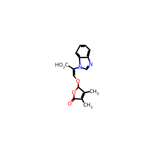 CC1=C(C)C(O/C=C(/C(=O)O)n2cnc3ccccc32)OC1=O